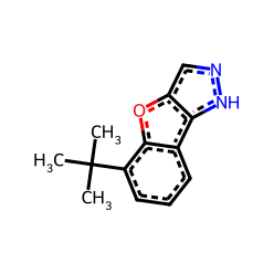 CC(C)(C)c1cccc2c1oc1cn[nH]c12